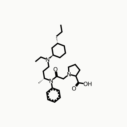 CCC[C@@H]1CCC[C@@H](N(CC)CC[C@@H](C)N(C(=O)CN2CCCC2C(=O)O)c2ccccc2)C1